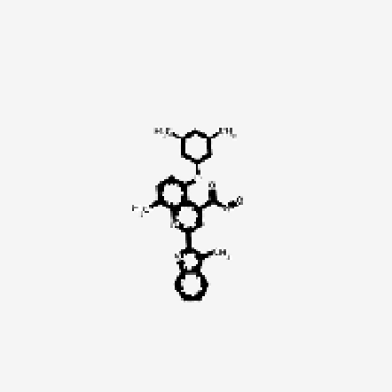 Cc1c(-c2cc(C(=O)N=O)c3c(O[C@@H]4C[C@H](C)C[C@H](C)C4)ccc(C)c3n2)sc2ccccc12